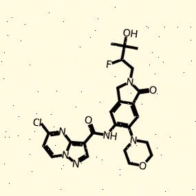 CC(C)(O)C(F)CN1Cc2cc(NC(=O)c3cnn4ccc(Cl)nc34)c(N3CCOCC3)cc2C1=O